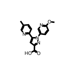 COc1ccc(-n2nc(C(=O)O)cc2-c2ccc(C)cn2)cn1